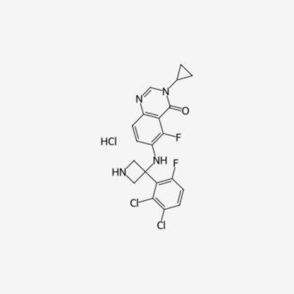 Cl.O=c1c2c(F)c(NC3(c4c(F)ccc(Cl)c4Cl)CNC3)ccc2ncn1C1CC1